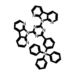 c1ccc([Si](c2ccccc2)(c2ccccc2)c2cccc(-c3nc(-n4c5ncccc5c5cccnc54)nc(-n4c5ncccc5c5cccnc54)n3)c2)cc1